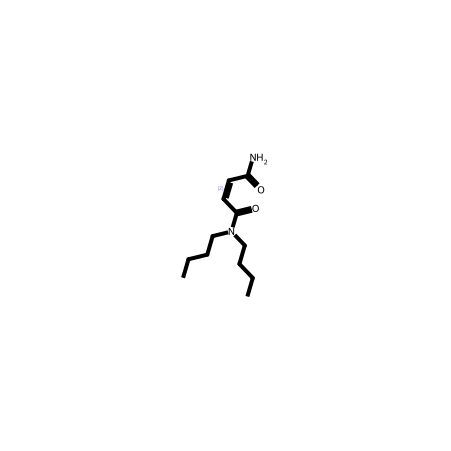 CCCCN(CCCC)C(=O)/C=C\C(N)=O